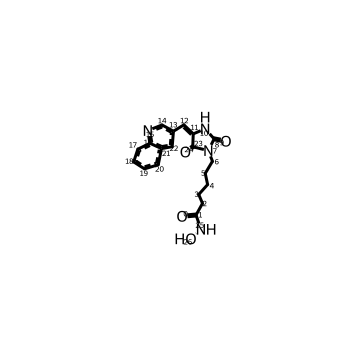 O=C(CCCCCN1C(=O)NC(=Cc2cnc3ccccc3c2)C1=O)NO